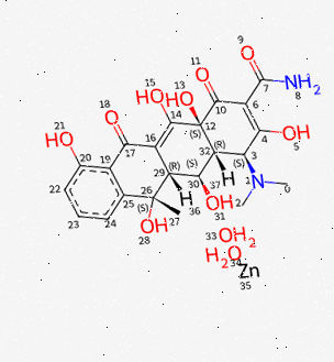 CN(C)[C@@H]1C(O)=C(C(N)=O)C(=O)[C@@]2(O)C(O)=C3C(=O)c4c(O)cccc4[C@@](C)(O)[C@H]3[C@H](O)[C@@H]12.O.O.[Zn]